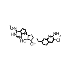 CO/N=c1\[nH]cnc2c1ccn2[C@@H]1C[C@H](CCc2ccc3cc(Cl)c(N)nc3c2)[C@@H](O)[C@H]1O